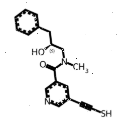 CN(C[C@@H](O)Cc1ccccc1)C(=O)c1cncc(C#CS)c1